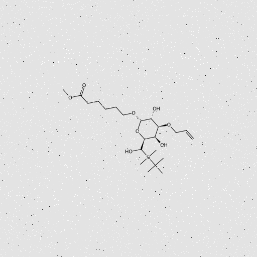 C=CCO[C@H]1[C@@H](O)[C@@H](C(O)[Si](C)(C)C(C)(C)C)O[C@H](OCCCCCC(=O)OC)[C@@H]1O